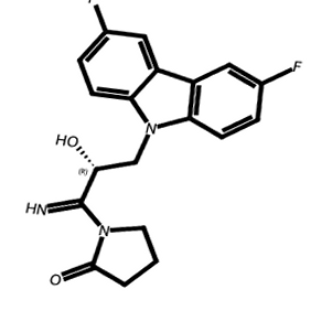 N=C([C@H](O)Cn1c2ccc(F)cc2c2cc(F)ccc21)N1CCCC1=O